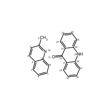 Cc1ccc2ccccc2n1.O=c1c2ccccc2[nH]c2ccccc12